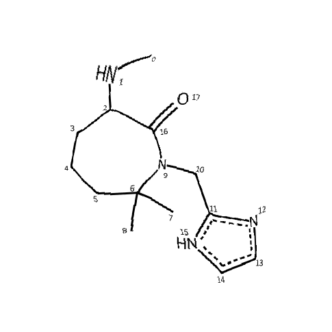 CNC1CCCC(C)(C)N(Cc2ncc[nH]2)C1=O